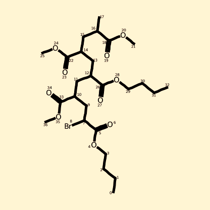 CCCCOC(=O)C(Br)CC(CC(CC(CC(C)C(=O)OC)C(=O)OC)C(=O)OCCCC)C(=O)OC